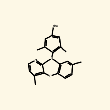 Cc1ccc2c(c1)N(c1c(C)cc(C(C)(C)C)cc1C)c1nccc(C)c1O2